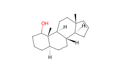 C[C@]12C(O)CCC[C@@H]1CC[C@@H]1[C@@H]2CC[C@]2(C)C=CC[C@@H]12